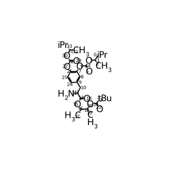 CC(C)C(C)OC(=O)Oc1cc(C[C@H](N)C(=O)OC(C)C(C)OC(=O)C(C)(C)C)ccc1OC(=O)O[C@@H](C)C(C)C